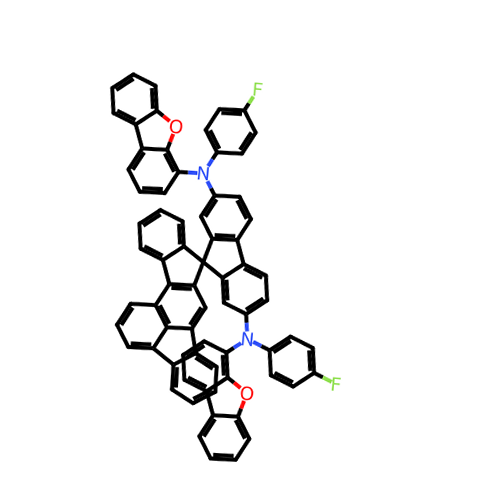 Fc1ccc(N(c2ccc3c(c2)C2(c4cc(N(c5ccc(F)cc5)c5cccc6c5oc5ccccc56)ccc4-3)c3ccccc3-c3c2cc2c4c(cccc34)-c3ccccc3-2)c2cccc3c2oc2ccccc23)cc1